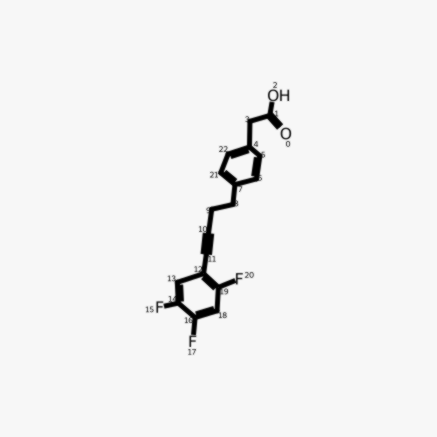 O=C(O)Cc1ccc(CCC#Cc2cc(F)c(F)cc2F)cc1